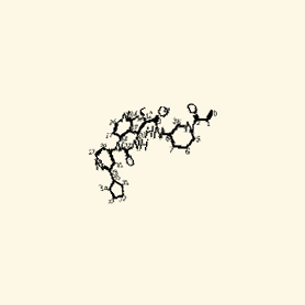 C=CC(=O)N1CCCC(NC(=O)c2sc3nccc4c3c2NC(=O)N4c2ccnc(C3CCCC3)c2)C1